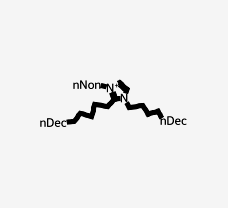 CCCCCCCCCCCCCCCc1n(CCCCCCCCCCCCCC)cc[n+]1CCCCCCCCC